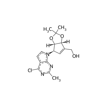 Cc1nc(Cl)c2ccn([C@@H]3C=C(CO)[C@H]4OC(C)(C)O[C@H]43)c2n1